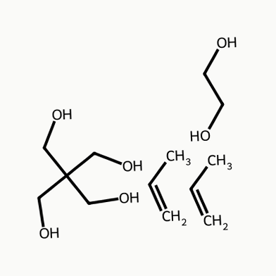 C=CC.C=CC.OCC(CO)(CO)CO.OCCO